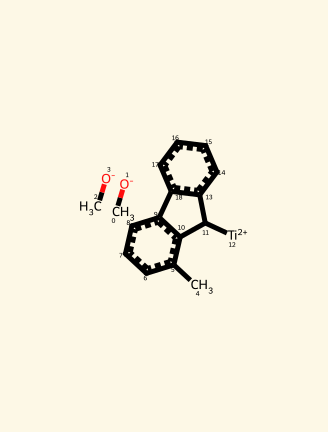 C[O-].C[O-].Cc1cccc2c1[CH]([Ti+2])c1ccccc1-2